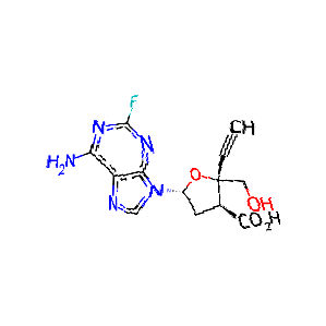 C#C[C@]1(CO)O[C@@H](n2cnc3c(N)nc(F)nc32)C[C@@H]1C(=O)O